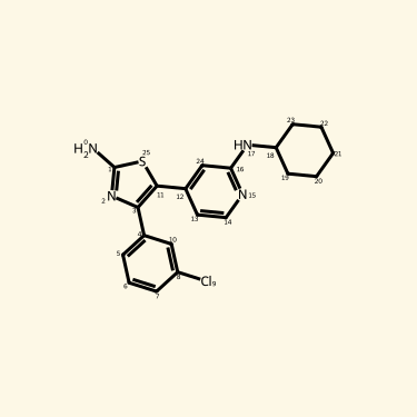 Nc1nc(-c2cccc(Cl)c2)c(-c2ccnc(NC3CCCCC3)c2)s1